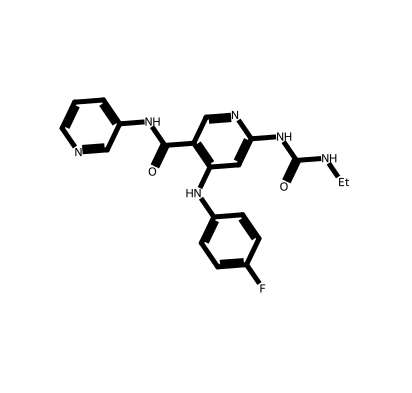 CCNC(=O)Nc1cc(Nc2ccc(F)cc2)c(C(=O)Nc2cccnc2)cn1